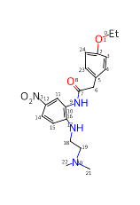 CCOc1ccc(CC(=O)Nc2cc([N+](=O)[O-])ccc2NCCN(C)C)cc1